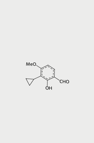 COc1ccc(C=O)c(O)c1C1CC1